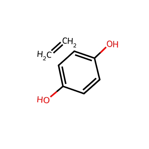 C=C.Oc1ccc(O)cc1